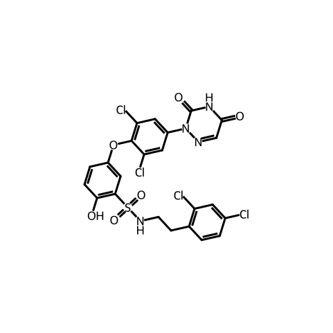 O=c1cnn(-c2cc(Cl)c(Oc3ccc(O)c(S(=O)(=O)NCCc4ccc(Cl)cc4Cl)c3)c(Cl)c2)c(=O)[nH]1